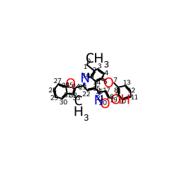 CCc1ccc(OCc2ccccc2)c2c(-c3cc(O)on3)cc(-c3oc4ccccc4c3C)nc12